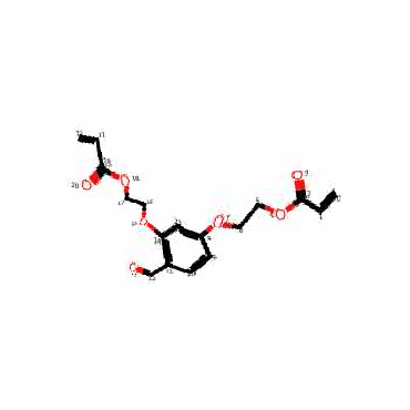 C=CC(=O)OCCOc1ccc(C=O)c(OCCOC(=O)C=C)c1